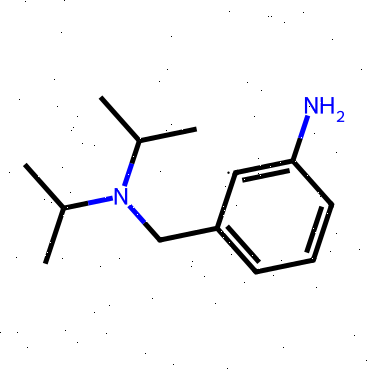 CC(C)N(Cc1[c]c(N)ccc1)C(C)C